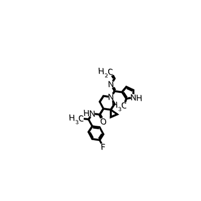 C=C/N=C(\c1cc[nH]c1C)N1CCC(C(=O)NC(C)c2ccc(F)cc2)C2(CC2)C1